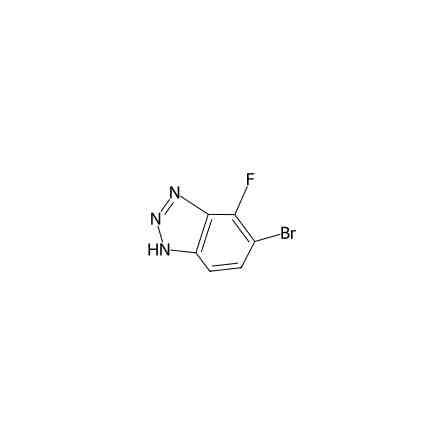 Fc1c(Br)ccc2[nH]nnc12